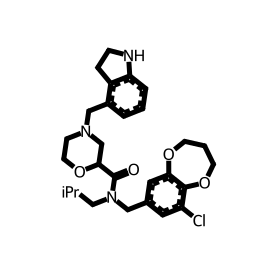 CC(C)CN(Cc1cc(Cl)c2c(c1)OCCCO2)C(=O)C1CN(Cc2cccc3c2CCN3)CCO1